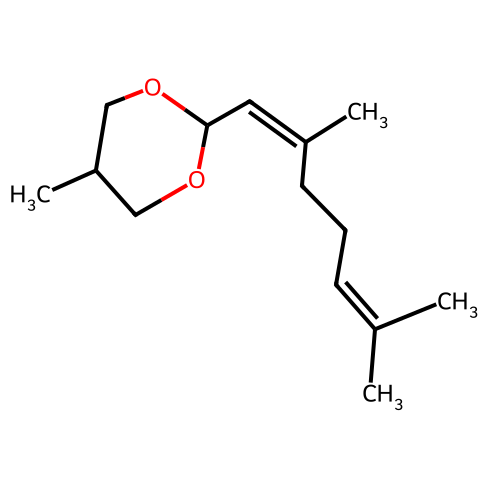 CC(C)=CCCC(C)=CC1OCC(C)CO1